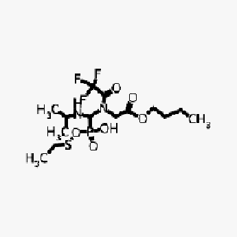 CCCCOC(=O)CN(C(=O)C(F)(F)F)C(NC(C)C)P(=O)(O)OSCC